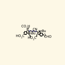 C=CCC1(CCCC)\C(=C/C=C(C#N)/C=C/C2=[N+](CCC(=O)O)c3ccc(OC=O)cc3C2(C)CCCC)N(CCC(=O)O)c2ccc(C(=O)O)cc21